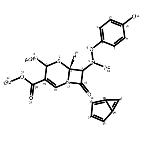 CC(=O)NC1S[C@@H]2C(N(Oc3ccc(Cl)cc3)C(C)=O)C(=O)N2C=C1C(=O)OC(C)(C)C.c1cc2cc-2c1